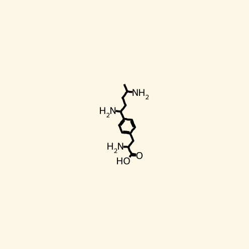 CC(N)CCC(N)c1ccc(CC(N)C(=O)O)cc1